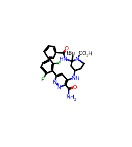 CC(C)(C)C1(NC(=O)c2ccccc2)CC(Nc2cc(-c3c(F)cccc3F)nnc2C(N)=O)CCN1C(=O)O